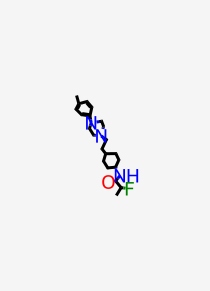 Cc1ccc(N2CCN(CCC3CCC(NC(=O)C(C)F)CC3)CC2)cc1